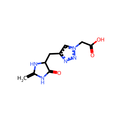 C=C1NC(=O)C(Cc2cn(CC(=O)O)nn2)N1